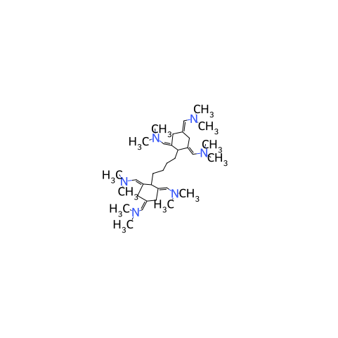 CN(C)C=C1CC(=CN(C)C)C(CCCCC2C(=CN(C)C)CC(=CN(C)C)CC2=CN(C)C)C(=CN(C)C)C1